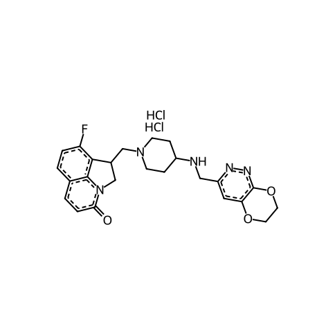 Cl.Cl.O=c1ccc2ccc(F)c3c2n1CC3CN1CCC(NCc2cc3c(nn2)OCCO3)CC1